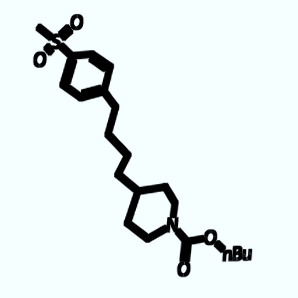 CCCCOC(=O)N1CCC(CCCCc2ccc(S(C)(=O)=O)cc2)CC1